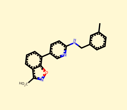 Cc1cccc(CNc2ccc(-c3cccc4c(C(=O)O)noc34)cn2)c1